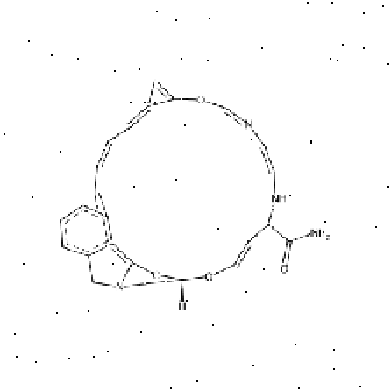 NC(=O)C1/C=C/O[C@H]2CC3=c4c(ccc\c4=C/C=C\C=C4C=C/4O/C=N\C=C/N1)CN32